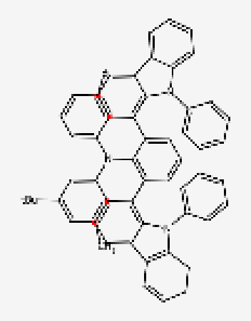 Cc1cc(N(c2cccc(Br)c2)c2c(-c3cccc4c5c(n(-c6ccccc6)c34)CCC=C5)cccc2-c2cccc3c4ccccc4n(-c4ccccc4)c23)cc(C(C)(C)C)c1